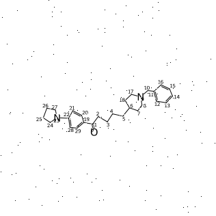 O=C(CCCCC1CCN(Cc2ccccc2)CC1)c1ccc(N2CCCC2)cc1